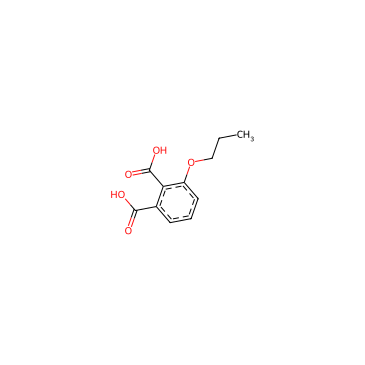 CCCOc1cccc(C(=O)O)c1C(=O)O